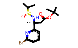 CC(C)[S@@+]([O-])N[C@@](C)(CC(=O)OC(C)(C)C)c1cccc(Br)n1